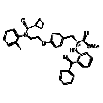 COC(=O)[C@H](Cc1ccc(OCCN(C(=O)C2CCC2)c2ccccc2C)cc1)Nc1ccccc1C(=O)c1ccccc1